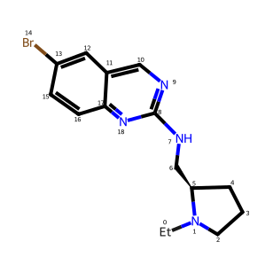 CCN1CCC[C@@H]1CNc1ncc2cc(Br)ccc2n1